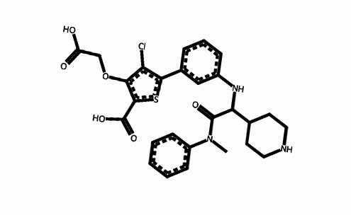 CN(C(=O)C(Nc1cccc(-c2sc(C(=O)O)c(OCC(=O)O)c2Cl)c1)C1CCNCC1)c1ccccc1